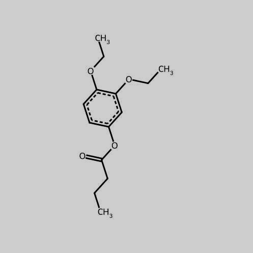 CCCC(=O)Oc1ccc(OCC)c(OCC)c1